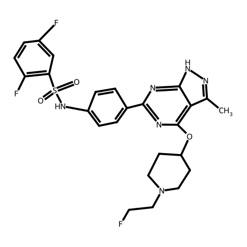 Cc1n[nH]c2nc(-c3ccc(NS(=O)(=O)c4cc(F)ccc4F)cc3)nc(OC3CCN(CCF)CC3)c12